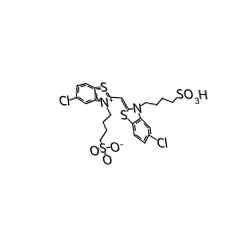 O=S(=O)([O-])CCCC[n+]1c(C=C2Sc3ccc(Cl)cc3N2CCCCS(=O)(=O)O)sc2ccc(Cl)cc21